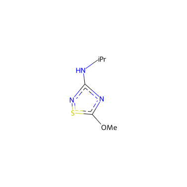 COc1nc(NC(C)C)ns1